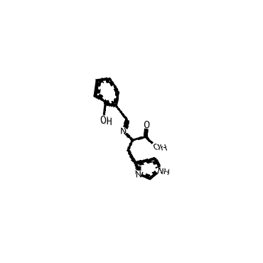 O=C(O)C(Cc1c[nH]cn1)N=Cc1ccccc1O